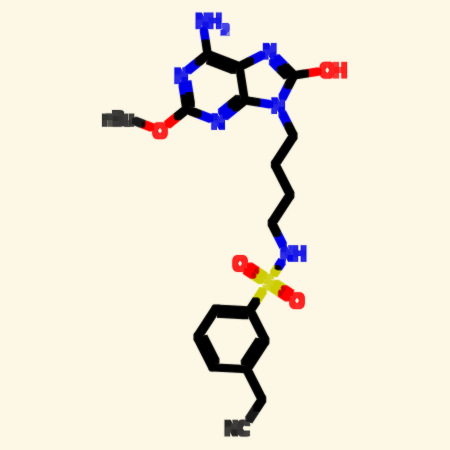 CCCCOc1nc(N)c2nc(O)n(CCCCNS(=O)(=O)c3cccc(CC#N)c3)c2n1